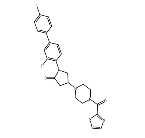 O=C(c1nccs1)N1CCN(C2CC(=O)N(c3ccc(-c4ccc(F)cc4)cc3F)C2)CC1